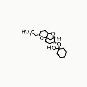 O=C(O)CC1CCC2O[C@@H]3CC2(CC[C@H]3OC2(O)CCCCC2)O1